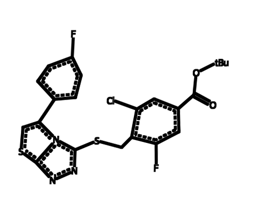 CC(C)(C)OC(=O)c1cc(F)c(CSc2nnc3scc(-c4ccc(F)cc4)n23)c(Cl)c1